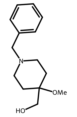 COC1(CO)CCN(Cc2ccccc2)CC1